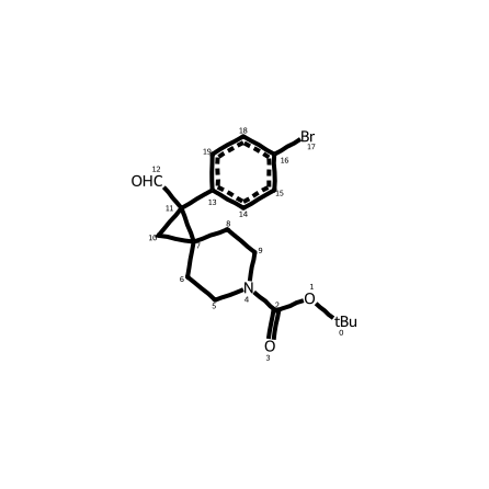 CC(C)(C)OC(=O)N1CCC2(CC1)CC2(C=O)c1ccc(Br)cc1